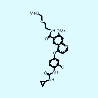 COCOCCNC(=O)c1cc2c(Oc3ccc(NC(=O)NC4CC4)c(Cl)c3)ccnc2cc1OC